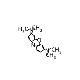 CCN(C)c1ccc2nc3ccc(=[N+](C)C)cc-3oc2c1